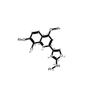 COc1ccc2c(OC(C)C)cc(-c3coc(NC(C)C)n3)nc2c1Cl